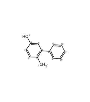 [CH2]c1ccc(O)cc1-c1ccccc1